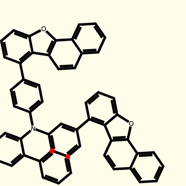 c1ccc(-c2ccccc2N(c2ccc(-c3cccc4oc5c6ccccc6ccc5c34)cc2)c2cccc(-c3cccc4oc5c6ccccc6ccc5c34)c2)cc1